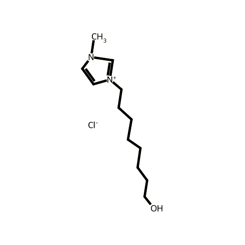 Cn1cc[n+](CCCCCCCCO)c1.[Cl-]